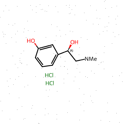 CNC[C@H](O)c1cccc(O)c1.Cl.Cl